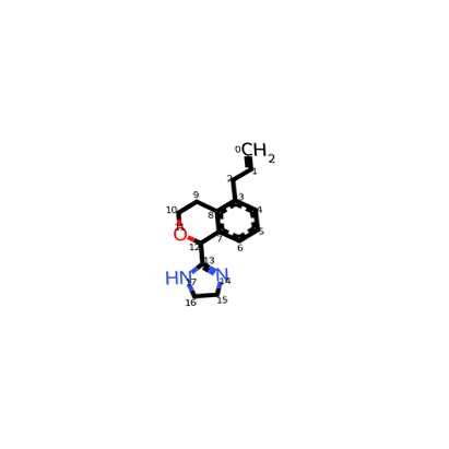 C=CCc1cccc2c1CCOC2C1=NCCN1